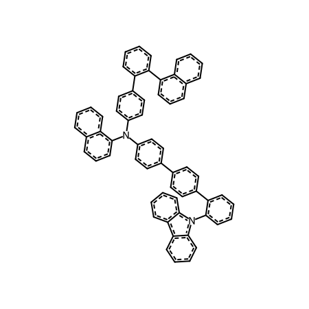 c1ccc(-c2cccc3ccccc23)c(-c2ccc(N(c3ccc(-c4ccc(-c5ccccc5-n5c6ccccc6c6ccccc65)cc4)cc3)c3cccc4ccccc34)cc2)c1